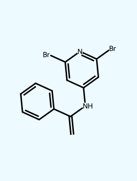 C=C(Nc1cc(Br)nc(Br)c1)c1ccccc1